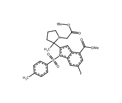 COC(=O)c1cc(F)cc2c1cc(C1(C)CCCN1CC(=O)OC(C)(C)C)n2S(=O)(=O)c1ccc(C)cc1